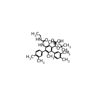 CCNC(=O)Nc1c(C)c(C(OC(C)(C)C)C(=O)O)c(-c2ccc(C)c(C)c2)c(C)c1-c1ccc(C)c(C)c1